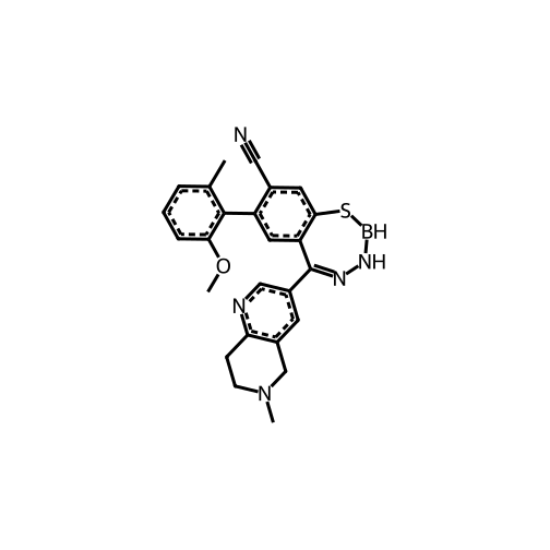 COc1cccc(C)c1-c1cc2c(cc1C#N)SBNN=C2c1cnc2c(c1)CN(C)CC2